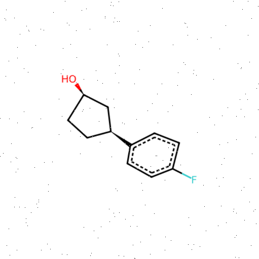 O[C@@H]1CC[C@H](c2ccc(F)cc2)C1